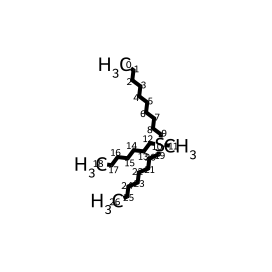 CCCCCCCCCCS(C)(CCCCCCC)CCCCCCCC